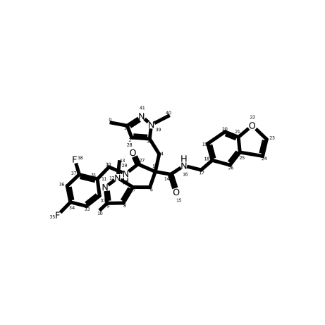 Cc1cc(CC(Cc2cc(C)nn2C)(C(=O)NCc2ccc3occc3c2)C(=O)NCc2ccc(F)cc2F)n(C)n1